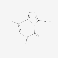 C=C1N(C)C=C(C)c2cnc(C)n21